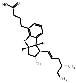 CC[C@@H](C)C/C=C/[C@@H]1[C@H]2c3cccc(CCCC(=O)O)c3O[C@H]2C[C@H]1O